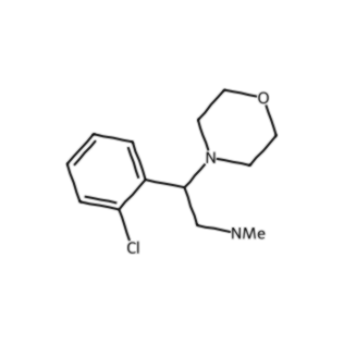 CNCC(c1ccccc1Cl)N1CCOCC1